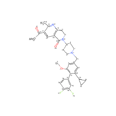 CCOc1cc(CN2CCC(N3CCc4nc(C)c(C(=O)OC)cc4C3=O)CC2)cc(C2CC2)c1-c1ccc(F)c(F)c1